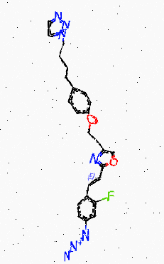 [N-]=[N+]=Nc1ccc(/C=C/c2nc(COc3ccc(CCCCn4ccnn4)cc3)co2)c(F)c1